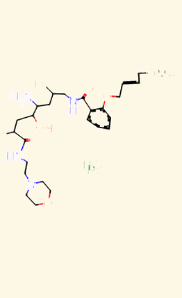 COCC=CCOc1ccccc1C(=O)NCC(CC(N)C(O)CC(C(=O)NCCN1CCOCC1)C(C)C)C(C)C.Cl.Cl